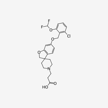 O=C(O)CCN1CCC2(CC1)COc1cc(OCc3c(Cl)cccc3OC(F)F)ccc12